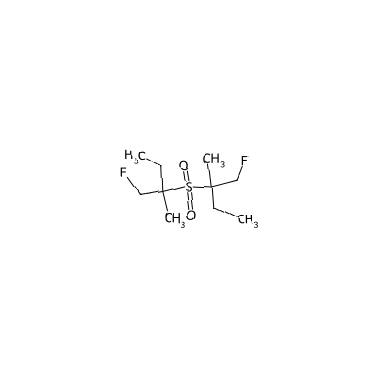 CCC(C)(CF)S(=O)(=O)C(C)(CC)CF